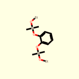 CCO[Si](C)(C)Oc1ccccc1O[Si](C)(C)OCC